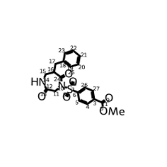 COC(=O)c1ccc(S(=O)(=O)N2CC(=O)NCC(Cc3ccccc3)C2=O)cc1